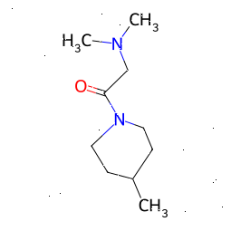 CC1CCN(C(=O)CN(C)C)CC1